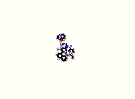 C=CC(=O)N1CCC(N(C)c2nc(OCC34CCCN3CCC4)nc3c(F)c(-c4cccc5cccc(F)c45)ncc23)C1